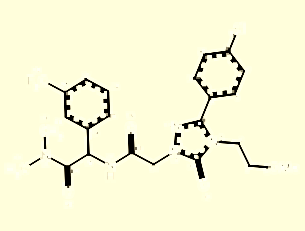 COCCn1c(-c2ccc(Cl)cc2)nn(CC(=O)NC(C(=O)N(C)C)c2cccc(C(F)(F)F)c2)c1=O